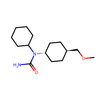 COC[C@H]1CC[C@H](N(C(N)=O)C2CCCCC2)CC1